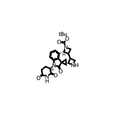 CC(C)(C)OC(=O)N1CC(C2CNC2)[C@@H]1c1cccc2c1C1(CC1)C(=O)N2[C@@H]1CCC(=O)NC1=O